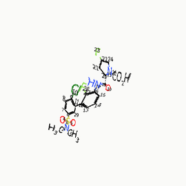 CN(C)S(=O)(=O)c1ccc(Cl)c(-c2cccc(NC(=O)[C@@H]3C[C@@H](F)CN3C(=O)O)c2F)c1